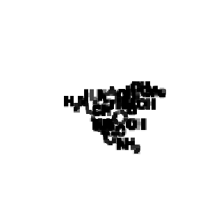 CN[C@@H]1[C@@H](O)[C@@H](O[C@H]2[C@H](NC(=O)C3(O)CC3N)C[C@H](N)C(O[C@H]3OC(CNCC(O)CCN)=CC[C@H]3N)[C@@H]2O)OC[C@]1(C)O